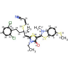 CCn1c(=O)/c(=C2\Sc3cc(SC)ccc3N2C)s/c1=C\[C@@](C)(CCc1c(Cl)cccc1Cl)S/C=C\C#N